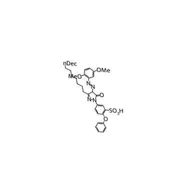 CCCCCCCCCCCCCCCCCC1=NN(c2ccc(Oc3ccccc3)c(S(=O)(=O)O)c2)C(=O)C1/N=N/c1cc(OC)ccc1OC